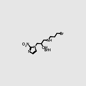 Br.O=[N+]([O-])c1nccn1CC(O)CNCCCBr